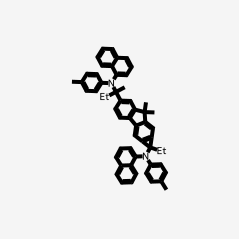 CCC(C)(c1ccc2c(c1)C(C)(C)c1cc3c(cc1-2)C3(CC)N(c1ccc(C)cc1)c1cccc2ccccc12)N(c1ccc(C)cc1)c1cccc2ccccc12